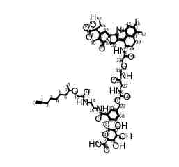 C#CCCCCCC(C)OCC(=O)NCCNC(=O)c1cc(COC(=O)NCC(=O)NCOCC(=O)N[C@H]2CCc3c(C)c(F)cc4nc5c(c2c34)Cn2c-5cc3c(c2=O)COC(=O)[C@]3(O)CC)ccc1O[C@@H]1O[C@H](C(=O)O)[C@@H](O)[C@H](O)[C@H]1O